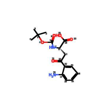 CC(C)(C)OC(=O)N[C@@H](CC(=O)c1ccccc1N)C(=O)O